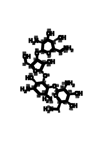 NC[C@H]1O[C@H](O[C@H]2[C@@H](O[C@@H]3O[C@H](CO)[C@@H](O[C@H]4O[C@H](CN)[C@@H](O)[C@H](O)[C@H]4N)[C@H]3O)[C@@H](O)[C@H](N)C[C@@H]2N)[C@H](N)[C@@H](O)[C@@H]1O